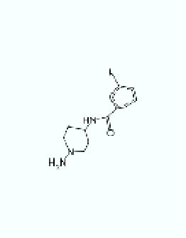 NN1CCC(NC(=O)c2cccc(I)c2)CC1